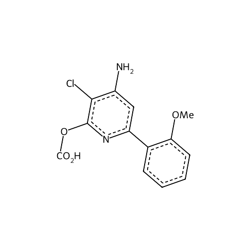 COc1ccccc1-c1cc(N)c(Cl)c(OC(=O)O)n1